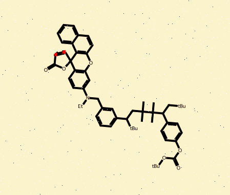 CCN(Cc1cccc(C(CC(C)(C)C(C)(C)C(CC(C)(C)C)c2ccc(OC(=O)OC(C)(C)C)cc2)C(C)(C)C)c1)c1ccc2c(c1)Oc1ccc3ccccc3c1C21OC(=O)c2ccccc21